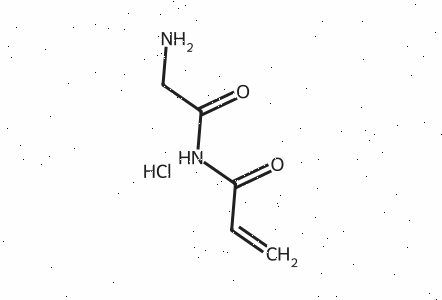 C=CC(=O)NC(=O)CN.Cl